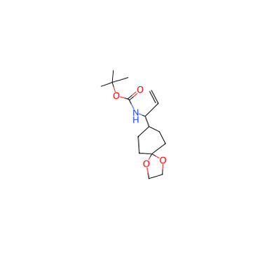 C=CC(NC(=O)OC(C)(C)C)C1CCC2(CC1)OCCO2